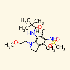 COCCN1CCc2c(C)c(NS(C)(=O)=O)c(C)c(NC(=O)C(C)(C)C)c21